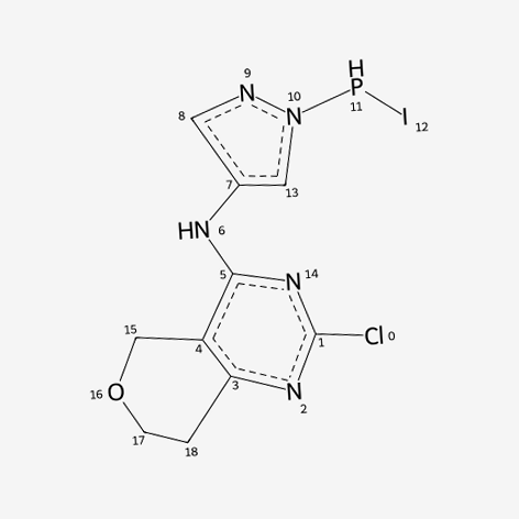 Clc1nc2c(c(Nc3cnn(PI)c3)n1)COCC2